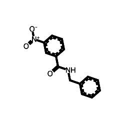 O=C(NCc1ccccc1)c1cccc([N+](=O)[O-])c1